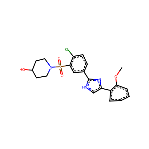 COc1ccccc1-c1c[nH]c(-c2ccc(Cl)c(S(=O)(=O)N3CCC(O)CC3)c2)n1